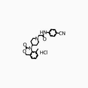 Cc1cccc2c1N(C1CCN(CC(=O)Nc3ccc(C#N)cc3)CC1)C(=O)OC2.Cl